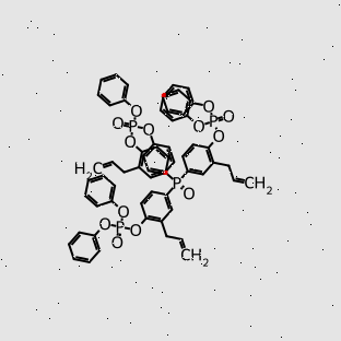 C=CCc1cc(P(=O)(c2ccc(OP(=O)(Oc3ccccc3)Oc3ccccc3)c(CC=C)c2)c2ccc(OP(=O)(Oc3ccccc3)Oc3ccccc3)c(CC=C)c2)ccc1OP(=O)(Oc1ccccc1)Oc1ccccc1